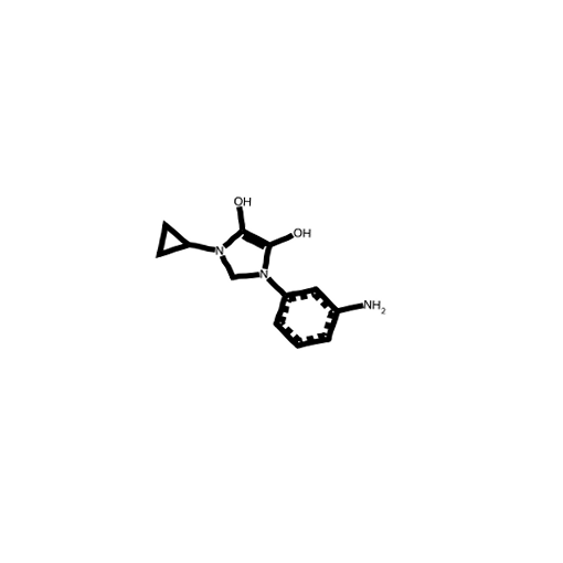 Nc1cccc(N2CN(C3CC3)C(O)=C2O)c1